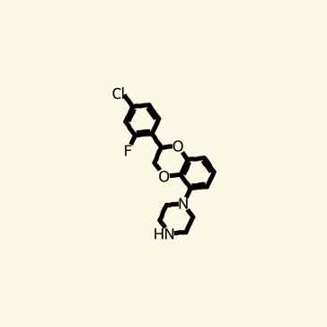 Fc1cc(Cl)ccc1C1COc2c(cccc2N2CCNCC2)O1